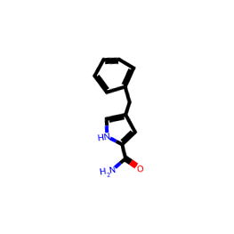 NC(=O)c1cc(Cc2ccccc2)c[nH]1